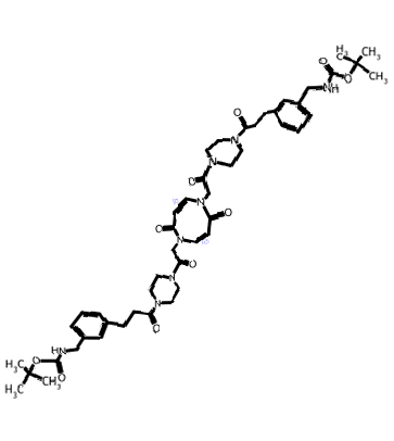 CC(C)(C)OC(=O)NCc1cccc(CCC(=O)N2CCN(C(=O)CN3/C=C\C(=O)N(CC(=O)N4CCN(C(=O)CCc5cccc(CNC(=O)OC(C)(C)C)c5)CC4)/C=C\C3=O)CC2)c1